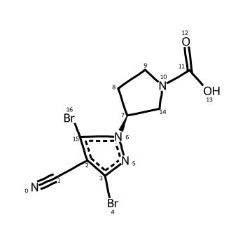 N#Cc1c(Br)nn([C@H]2CCN(C(=O)O)C2)c1Br